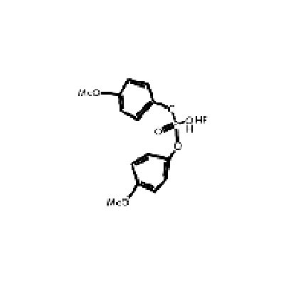 COc1ccc(OP(=O)(O)Oc2ccc(OC)cc2)cc1.F